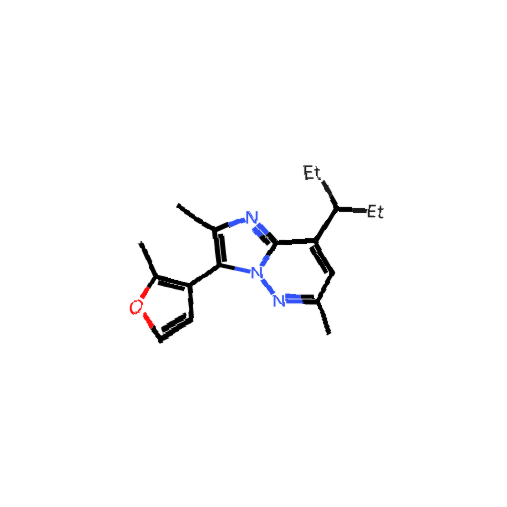 CCC(CC)c1cc(C)nn2c(-c3ccoc3C)c(C)nc12